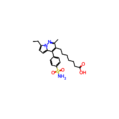 CCc1ccc2c(-c3ccc(S(N)(=O)=O)cc3)c(CCCCCCC(=O)O)c(C)nn12